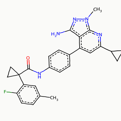 Cc1ccc(F)c(C2(C(=O)Nc3ccc(-c4cc(C5CC5)nc5c4c(N)nn5C)cc3)CC2)c1